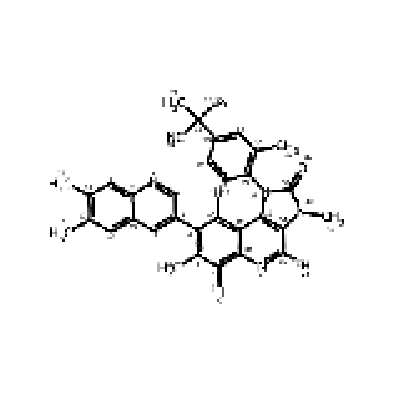 [2H]c1c(C)c(-c2cnc3cc(C)c(C)cc3c2)c([2H])c2c1nc([2H])c1c2n(-c2ccc(C(C)(C#N)C(C)C)cc2C)c(=O)n1C